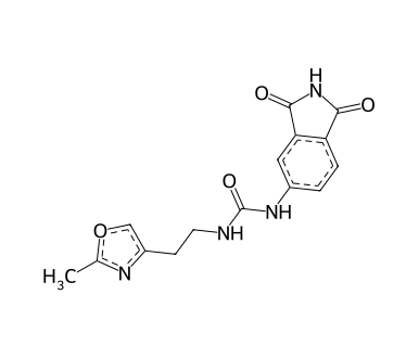 Cc1nc(CCNC(=O)Nc2ccc3c(c2)C(=O)NC3=O)co1